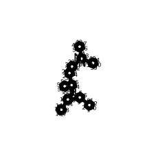 c1ccc(-c2ccc3c(c2)c2cc(-c4ccccc4)ccc2n3-c2ccc(-c3ccc4ccc(-c5nc(-c6ccccc6)cc(-c6ccccc6)n5)cc4c3)c3ccccc23)cc1